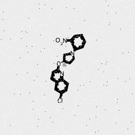 O=[N+]([O-])c1ccccc1N1CC[C@H](Oc2ccc3cc(Cl)ccc3n2)C1